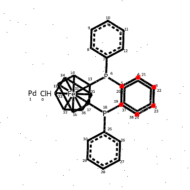 Cl.[Pd].c1ccc(P(c2ccccc2)[C]23[CH]4[CH]5[CH]6[C]2(P(c2ccccc2)c2ccccc2)[Fe]54632789[CH]3[CH]2[CH]7[CH]8[CH]39)cc1